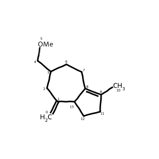 C=C1CC(COC)CCC2=C(C)CCC12